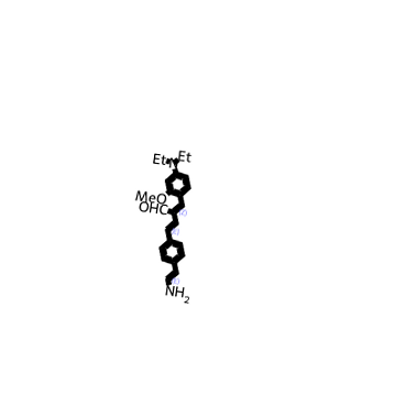 CCN(CC)c1ccc(/C=C(C=O)/C=C/c2ccc(/C=C/N)cc2)c(OC)c1